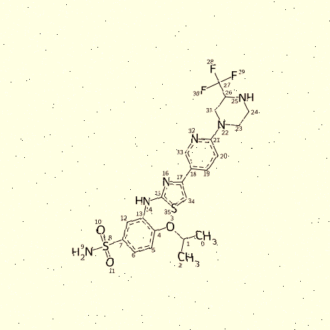 CC(C)Oc1ccc(S(N)(=O)=O)cc1Nc1nc(-c2ccc(N3CCNC(C(F)(F)F)C3)nc2)cs1